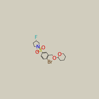 O=S(=O)(c1ccc(Br)c(COC2CCCCO2)c1)N1CC[C@H](F)C1